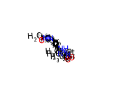 C=CC(=O)N1CCN(Cc2ccc([C@H](C)N/C(N=C)=N/C3=C(C)COC(=O)N3CC)cc2)CC1